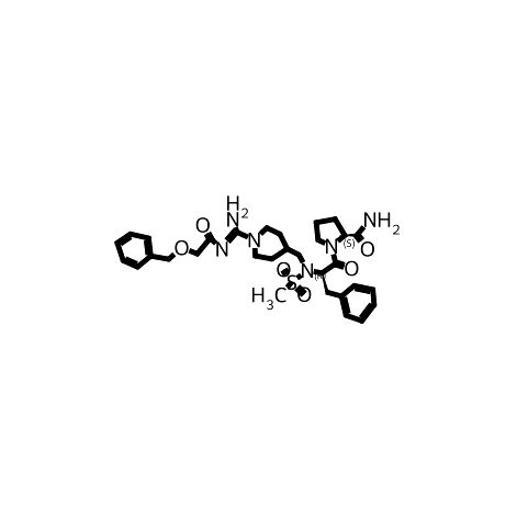 CS(=O)(=O)N(CC1CCN(C(N)=NC(=O)COCc2ccccc2)CC1)[C@H](Cc1ccccc1)C(=O)N1CCC[C@H]1C(N)=O